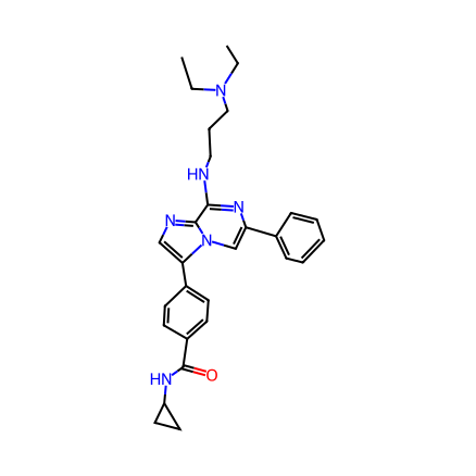 CCN(CC)CCCNc1nc(-c2ccccc2)cn2c(-c3ccc(C(=O)NC4CC4)cc3)cnc12